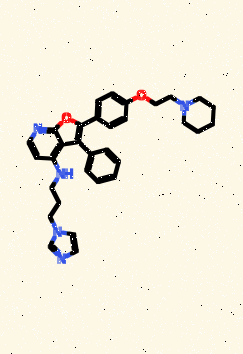 c1ccc(-c2c(-c3ccc(OCCN4CCCCC4)cc3)oc3nccc(NCCCn4ccnc4)c23)cc1